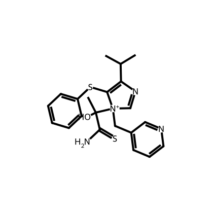 CC(C)C1=C(Sc2ccccc2)[N+](Cc2cccnc2)(C(C)(O)C(N)=S)C=N1